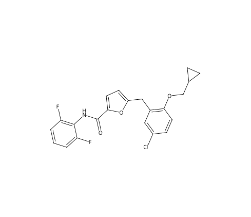 O=C(Nc1c(F)cccc1F)c1ccc(Cc2cc(Cl)ccc2OCC2CC2)o1